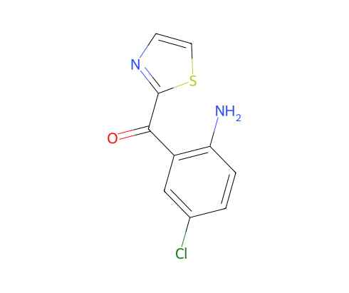 Nc1ccc(Cl)cc1C(=O)c1nccs1